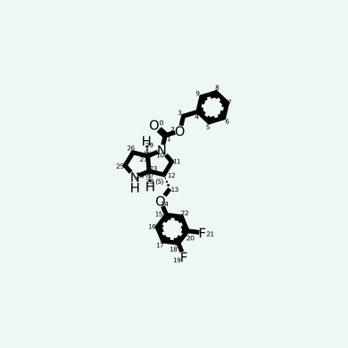 O=C(OCc1ccccc1)N1C[C@H](COc2ccc(F)c(F)c2)[C@H]2NCC[C@H]21